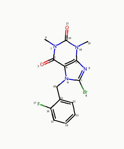 Cn1c(=O)c2c(nc(Br)n2Cc2ccccc2F)n(C)c1=O